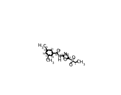 CCS(=O)(=O)c1nnc(NC(=O)c2cc(C)cc(C)c2)o1